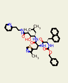 Cc1ncsc1CC(NC(=O)[C@H](Cc1cccc2ccccc12)NC(=O)OCc1ccccc1)C(=O)N[C@@H](CC(C)C)[C@@H](O)CC(=O)NCCc1ccccn1